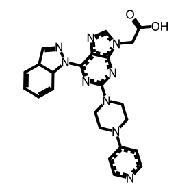 O=C(O)Cn1cnc2c(N3N=CC4C=CC=CC43)nc(N3CCN(c4ccncc4)CC3)nc21